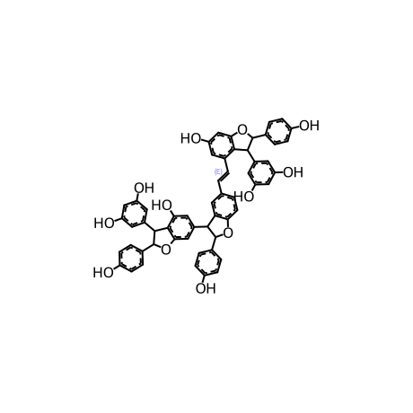 Oc1ccc(C2Oc3ccc(/C=C/c4cc(O)cc5c4C(c4cc(O)cc(O)c4)C(c4ccc(O)cc4)O5)cc3C2c2cc(O)c3c(c2)OC(c2ccc(O)cc2)C3c2cc(O)cc(O)c2)cc1